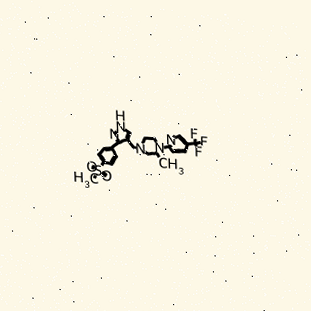 CC1CN(Cc2c[nH]nc2-c2ccc(S(C)(=O)=O)cc2)CCN1c1ccc(C(F)(F)F)cn1